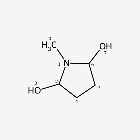 CN1C(O)CCC1O